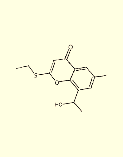 CCSc1cc(=O)c2cc(C)cc(C(C)O)c2o1